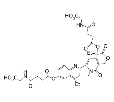 CCc1c2c(nc3ccc(OC(=O)CCC(=O)NCC(=O)O)cc13)-c1cc3c(c(=O)n1C2)COC(=O)[C@@]3(CC)OC(=O)CCC(=O)NCC(=O)O